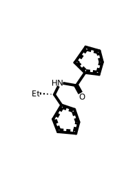 CC[C@H](NC(=O)c1ccccc1)c1ccccc1